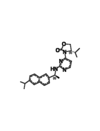 CC(C)c1ccc2cc([C@H](C)Nc3nccc(N4C(=O)OC[C@@H]4C(C)C)n3)ccc2c1